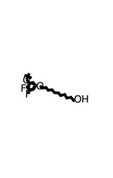 CC(C)(C)Oc1cc(OCCCCCCCCCCCO)cc(F)c1F